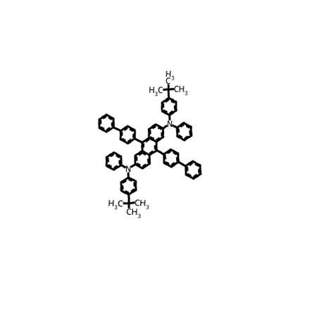 CC(C)(C)c1ccc(N(c2ccccc2)c2ccc3c(-c4ccc(-c5ccccc5)cc4)c4cc(N(c5ccccc5)c5ccc(C(C)(C)C)cc5)ccc4c(-c4ccc(-c5ccccc5)cc4)c3c2)cc1